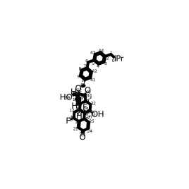 CC(C)Cc1ccc(Cc2ccc([C@H]3O[C@@H]4C[C@H]5[C@@H]6C[C@H](F)C7=CC(=O)C=C[C@]7(C)[C@@]6(F)[C@@H](O)C[C@]5(C)[C@]4(C(=O)CO)O3)cc2)cc1